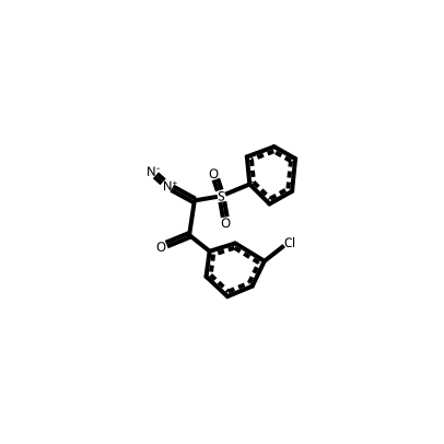 [N-]=[N+]=C(C(=O)c1cccc(Cl)c1)S(=O)(=O)c1ccccc1